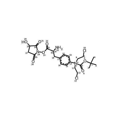 CC(C)(C)OC(=O)[N+](CCCl)(CCCl)c1ccc(C[C@H](N)C(=O)ON2C(=O)CC(O)C2=O)cc1